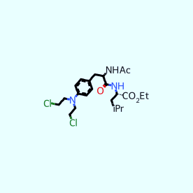 CCOC(=O)[C@H](CC(C)C)NC(=O)C(Cc1ccc(N(CCCl)CCCl)cc1)NC(C)=O